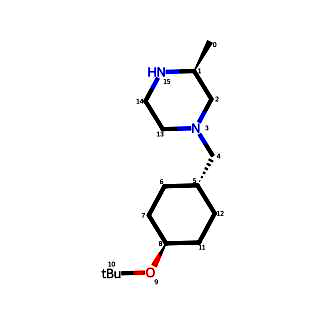 C[C@H]1CN(C[C@H]2CC[C@H](OC(C)(C)C)CC2)CCN1